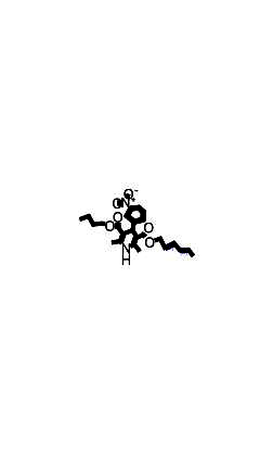 C/C=C/C=C/COC(=O)C1=C(C)NC(C)=C(C(=O)OCCCC)C1c1cccc([N+](=O)[O-])c1